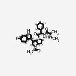 CNC(C)C(=O)NC(C(=O)N1CCC2C1C(c1c[nH]c3cc(F)ccc13)CN2C(C)=O)C1CCCCC1